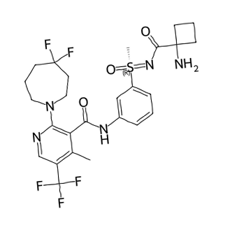 Cc1c(C(F)(F)F)cnc(N2CCCC(F)(F)CC2)c1C(=O)Nc1cccc([S@@](C)(=O)=NC(=O)C2(N)CCC2)c1